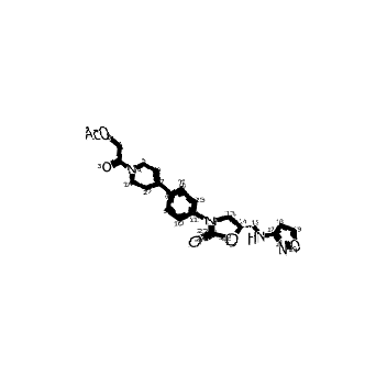 CC(=O)OCC(=O)N1CC=C(c2ccc(N3C[C@H](CNc4ccon4)OC3=O)cc2)CC1